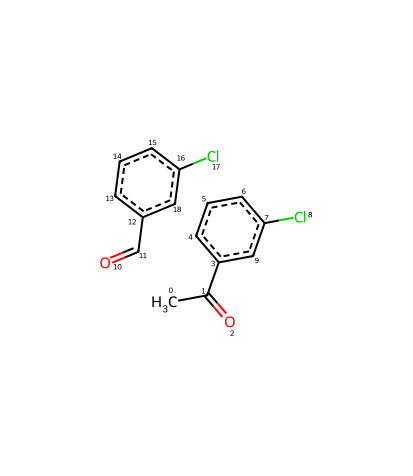 CC(=O)c1cccc(Cl)c1.O=Cc1cccc(Cl)c1